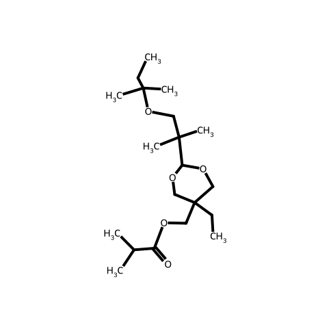 CCC1(COC(=O)C(C)C)COC(C(C)(C)COC(C)(C)CC)OC1